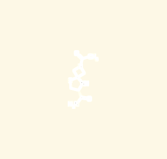 CC(=O)N1CC2(C1)N[C@H](C(N)=O)CS2